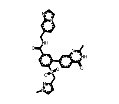 Cc1nc2cc(-c3cc(C(=O)NCc4ccn5ccnc5c4)ccc3S(=O)(=O)Cc3ccn(C)n3)ccc2c(=O)[nH]1